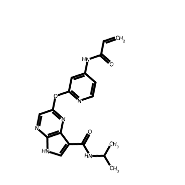 C=CC(=O)Nc1ccnc(Oc2cnc3[nH]cc(C(=O)NC(C)C)c3n2)c1